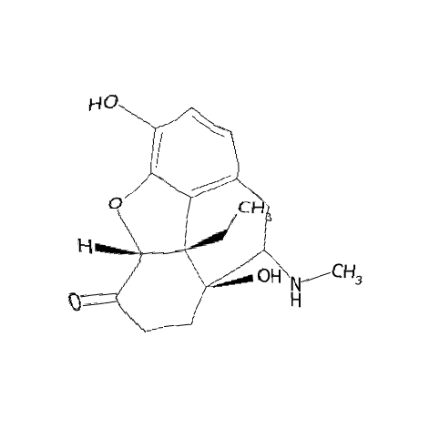 CC[C@]12c3c4ccc(O)c3O[C@H]1C(=O)CC[C@@]2(O)C(NC)C4